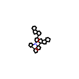 c1ccc(-c2ccccc2N(c2ccc(-c3cccc4c3ccc3ccccc34)cc2)c2ccccc2-c2cccc3c2ccc2ccccc23)cc1